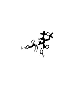 CCOCC(=O)Nc1sc2c(c1C(N)=O)CC(C)(C)OC2(C)C